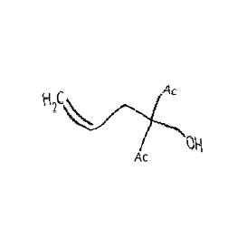 C=CCC(O)(C(C)=O)C(C)=O